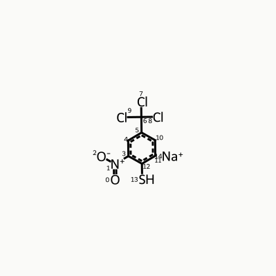 O=[N+]([O-])c1cc(C(Cl)(Cl)Cl)ccc1S.[Na+]